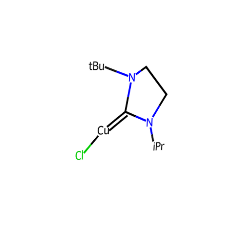 CC(C)N1CCN(C(C)(C)C)[C]1=[Cu][Cl]